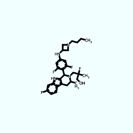 CCCCN1CC(Nc2cc(F)c(C3c4[nH]c5cc(F)ccc5c4CC(C)N3CC(C)(F)CO)c(F)c2)C1